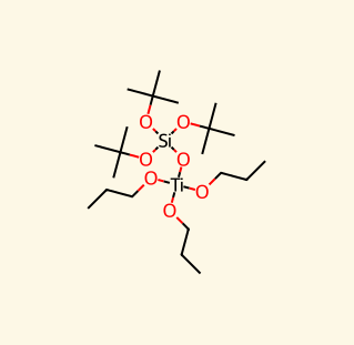 CCC[O][Ti]([O]CCC)([O]CCC)[O][Si](OC(C)(C)C)(OC(C)(C)C)OC(C)(C)C